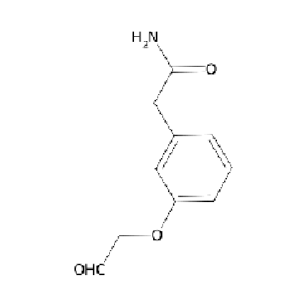 NC(=O)Cc1cccc(OCC=O)c1